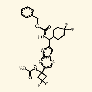 O=C(O)NC1(c2cnn3cc(C(NC(=O)OCc4ccccc4)C4CCC(F)(F)CC4)nc3n2)CC(F)(F)C1